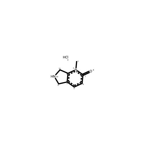 Cl.Cn1c2c(ccc1=O)CNC2